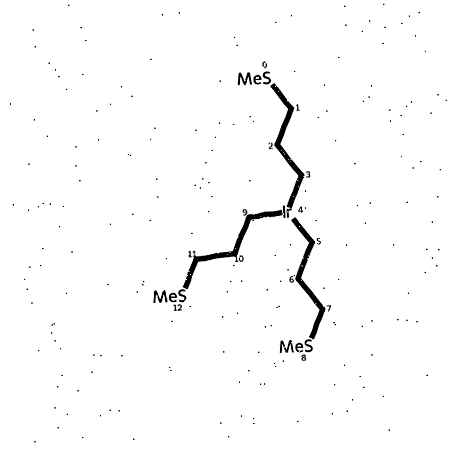 CSCC[CH2][Ir]([CH2]CCSC)[CH2]CCSC